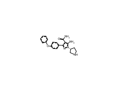 NC(=O)c1c(-c2ccc(Oc3ccccc3)cc2)nn([C@@H]2CCNC2)c1N